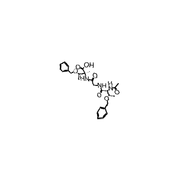 CC(=O)N[C@H](C(=O)NCC(=O)N[C@](C)(C(=O)O)[C@@H](C)OCc1ccccc1)[C@@H](C)OCc1ccccc1